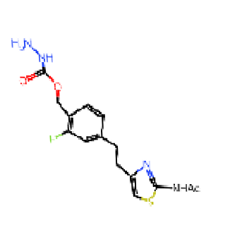 CC(=O)Nc1nc(CCc2ccc(COC(=O)NN)c(F)c2)cs1